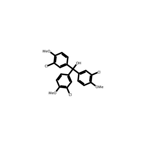 COc1ccc(C(O)(c2ccc(OC)c(Cl)c2)c2ccc(OC)c(Cl)c2)cc1Cl